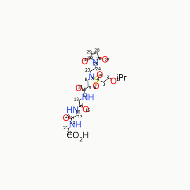 CC(C)OCCS(=O)(=O)N(CCC(=O)NCC(=O)NCC(=O)NCC(=O)O)CCN1C(=O)C=CC1=O